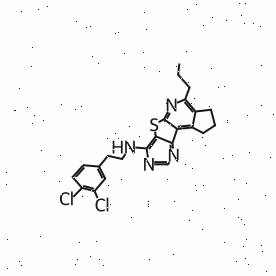 CCCc1nc2sc3c(NCCc4ccc(Cl)c(Cl)c4)ncnc3c2c2c1CCC2